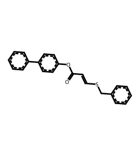 O=C(C=CSCc1ccccc1)Oc1ccc(-c2ccccc2)cc1